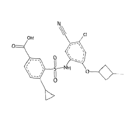 CC1CC(Oc2cc(Cl)c(C#N)cc2NS(=O)(=O)c2cc(C(=O)O)ccc2C2CC2)C1